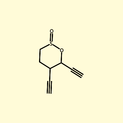 C#CC1CCS(=O)OC1C#C